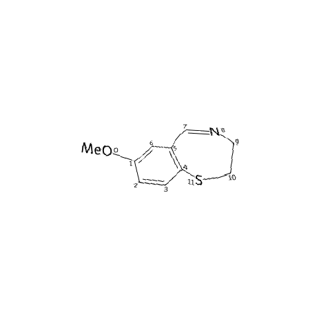 COc1ccc2c(c1)C=NCCS2